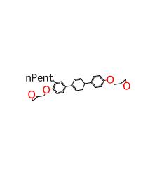 CCCCCc1cc(C2=CCC(c3ccc(OCC4CO4)cc3)C=C2)ccc1OCC1CO1